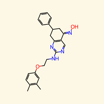 Cc1ccc(OCCNc2ncc3c(n2)CC(c2ccccc2)C/C3=N\O)cc1C